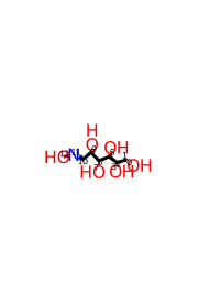 OC[C@@H](O)[C@H](O)[C@@H](O)[C@@H](O)C=NO